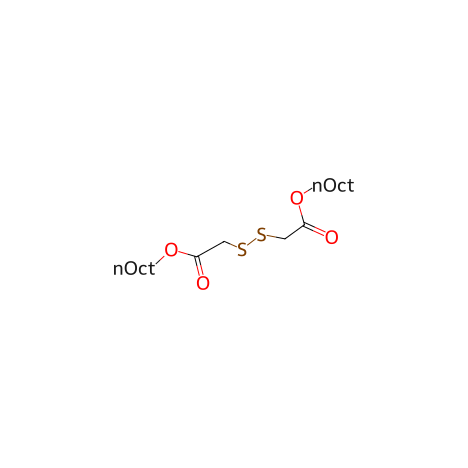 CCCCCCCCOC(=O)CSSCC(=O)OCCCCCCCC